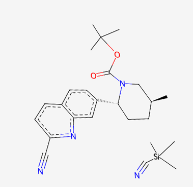 C[C@H]1CC[C@H](c2ccc3ccc(C#N)nc3c2)N(C(=O)OC(C)(C)C)C1.C[Si](C)(C)C#N